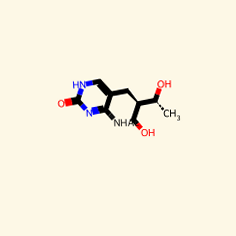 CC(=O)Nc1nc(=O)[nH]cc1C[C@H](CO)[C@@H](C)O